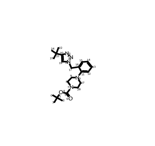 CC(C)(C)OC(=O)N1CCN(c2ccccc2Cn2cc(C(C)(C)C)nn2)CC1